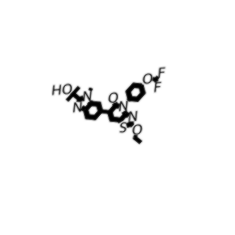 CCOc1nc2c(cc(-c3ccc4nc(C(C)(C)O)n(C)c4c3)c(=O)n2-c2ccc(OC(F)F)cc2)s1